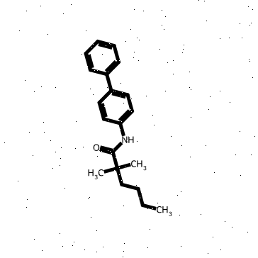 CCCCC(C)(C)C(=O)Nc1ccc(-c2ccccc2)cc1